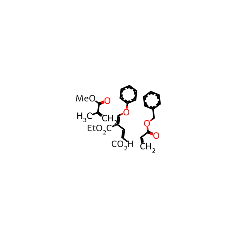 C=C(C)C(=O)OC.C=CC(=O)OCc1ccccc1.CCOC(=O)C(C=CC(=O)O)=COc1ccccc1